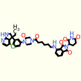 CCC1(c2cccc(N3CCN(C(=O)CCCCCNc4cccc5c4C(=O)N(C4CCC(=O)NC4=O)C5=O)CC3=O)c2)CNc2nccc(Cl)c21